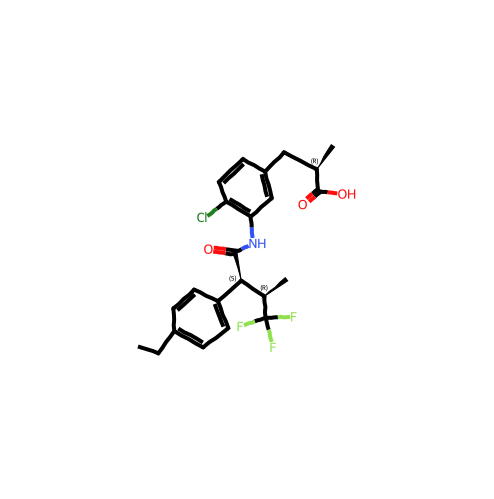 CCc1ccc([C@@H](C(=O)Nc2cc(C[C@@H](C)C(=O)O)ccc2Cl)[C@@H](C)C(F)(F)F)cc1